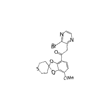 COc1ccc(C(=O)Cc2nccnc2Br)c2c1OC1(CCSCC1)O2